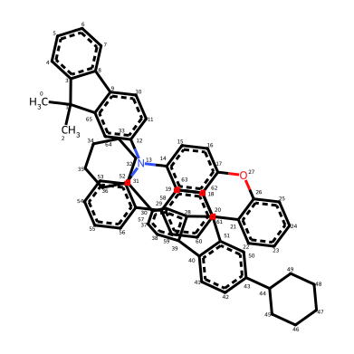 CC1(C)c2ccccc2-c2ccc(N(c3ccc4c(c3)C3(c5ccccc5O4)c4cc(C5CCCCC5)ccc4-c4ccc(C5CCCCC5)cc43)c3ccccc3-c3ccccc3)cc21